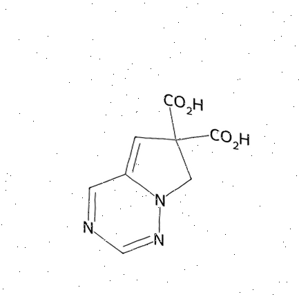 O=C(O)C1(C(=O)O)C=C2C=NC=NN2C1